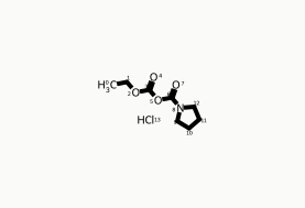 CCOC(=O)OC(=O)N1CCCC1.Cl